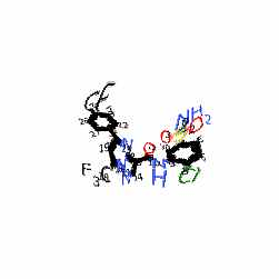 NS(=O)(=O)c1ccc(Cl)c(NC(=O)c2cnn3c(C(F)(F)F)cc(-c4ccc(C(F)(F)F)cc4)nc23)c1